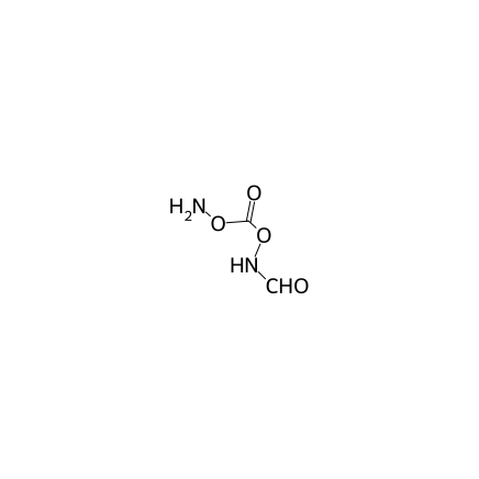 NOC(=O)ONC=O